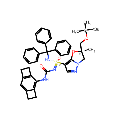 CC(C)(C)[Si](C)(C)OC[C@@]1(C)Cn2ncc([S@](=O)(=NC(=O)Nc3c4c(cc5c3CC5)CC4)NC(c3ccccc3)(c3ccccc3)c3ccccc3)c2O1